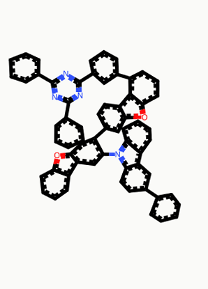 c1ccc(-c2ccc3c(c2)c2ccccc2n3-c2cc3c(cc2-c2ccc4c(c2)oc2cccc(-c5cccc(-c6nc(-c7ccccc7)nc(-c7ccccc7)n6)c5)c24)oc2ccccc23)cc1